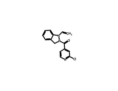 C=CN1c2ccccc2CN1C(=O)c1ccnc(Cl)c1